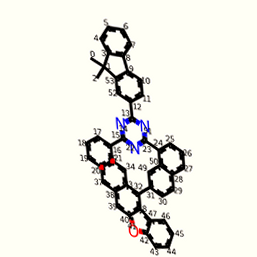 CC1(C)c2ccccc2-c2ccc(-c3nc(-c4ccccc4)nc(-c4cccc5ccc(-c6c7ccccc7cc7oc8ccccc8c67)cc45)n3)cc21